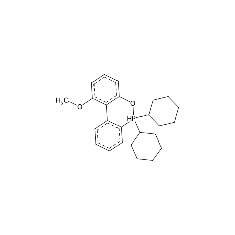 COc1cccc2c1-c1ccccc1[PH](C1CCCCC1)(C1CCCCC1)O2